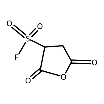 O=C1CC(S(=O)(=O)F)C(=O)O1